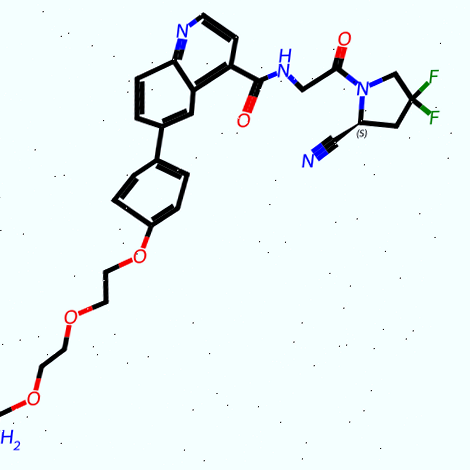 N#C[C@@H]1CC(F)(F)CN1C(=O)CNC(=O)c1ccnc2ccc(-c3ccc(OCCOCCOC(N)=O)cc3)cc12